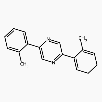 CC1=CCCC=C1c1cnc(-c2ccccc2C)cn1